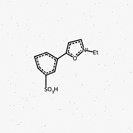 CC[n+]1ccc(-c2cccc(S(=O)(=O)O)c2)o1